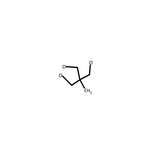 CC(CCl)(CCl)CCl